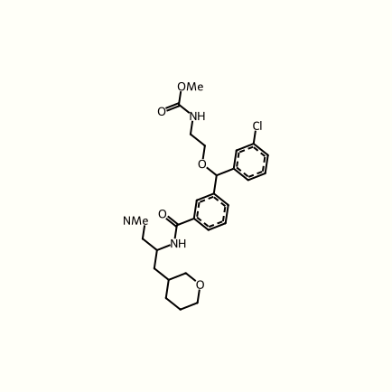 CNCC(CC1CCCOC1)NC(=O)c1cccc(C(OCCNC(=O)OC)c2cccc(Cl)c2)c1